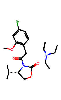 CCN(CC)CC.COc1cc(Br)ccc1CC(=O)N1C(=O)OC[C@@H]1C(C)C